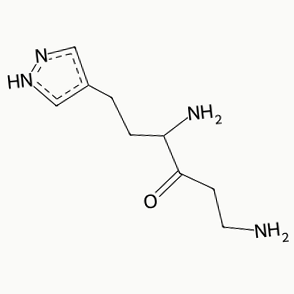 NCCC(=O)C(N)CCc1cn[nH]c1